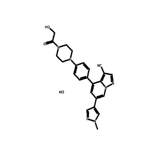 Cl.Cn1cc(-c2cc(-c3ccc(N4CCN(C(=O)CO)CC4)cc3)c3c(C#N)cnn3c2)cn1